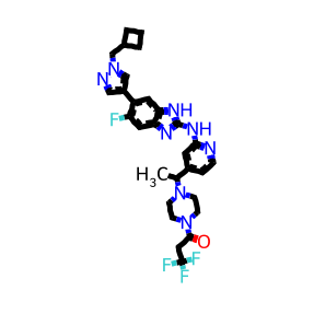 CC(c1ccnc(Nc2nc3cc(F)c(-c4cnn(CC5CCC5)c4)cc3[nH]2)c1)N1CCN(C(=O)CC(F)(F)F)CC1